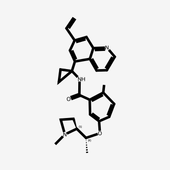 C=Cc1cc(C2(NC(=O)c3cc(O[C@H](C)[C@@H]4CCN4C)ccc3C)CC2)c2cccnc2c1